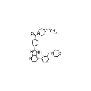 CCN1CCN(C(=O)c2ccc(-c3nc4nccc(-c5cccc(CN6CCOCC6)c5)c4[nH]3)cc2)CC1